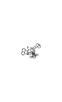 NCC#Cc1cccc2cccc(-c3ncc4c(N5C[C@H]6CC[C@@H](C5)N6)nc(OCC56CCCN5CCC6)nc4c3F)c12